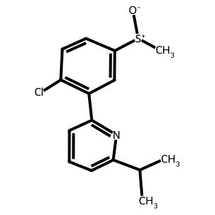 CC(C)c1cccc(-c2cc([S+](C)[O-])ccc2Cl)n1